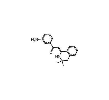 CC1(C)Cc2ccccc2C(=CC(=O)c2cccc(N)c2)N1